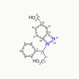 O=C(O)CC(c1ccccc1)n1cnc2cc(C(=O)O)ccc21